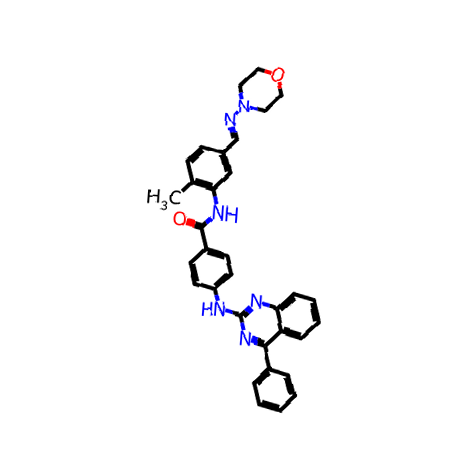 Cc1ccc(/C=N/N2CCOCC2)cc1NC(=O)c1ccc(Nc2nc(-c3ccccc3)c3ccccc3n2)cc1